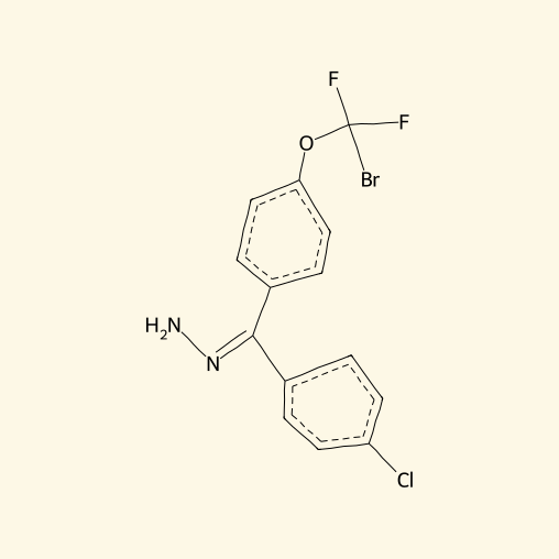 NN=C(c1ccc(Cl)cc1)c1ccc(OC(F)(F)Br)cc1